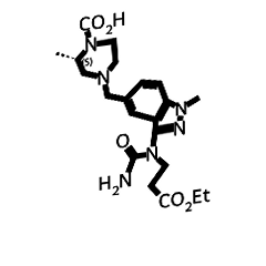 CCOC(=O)CCN(C(N)=O)c1nn(C)c2ccc(CN3CCN(C(=O)O)[C@@H](C)C3)cc12